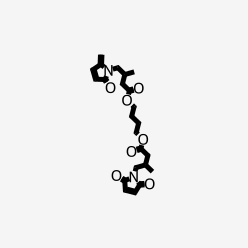 C=C1C=CC(=O)N1CC(C)CC(=O)OCCCCOC(=O)CC(C)CN1C(=O)C=CC1=O